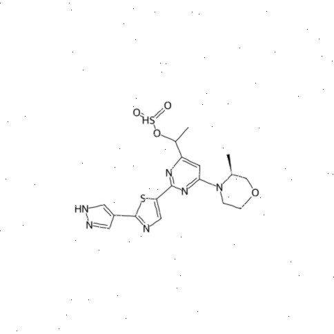 CC(O[SH](=O)=O)c1cc(N2CCOC[C@@H]2C)nc(-c2cnc(-c3cn[nH]c3)s2)n1